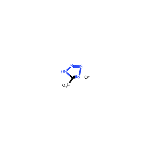 O=[N+]([O-])c1nnn[nH]1.[Cu]